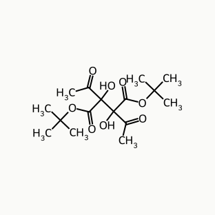 CC(=O)C(O)(C(=O)OC(C)(C)C)C(O)(C(C)=O)C(=O)OC(C)(C)C